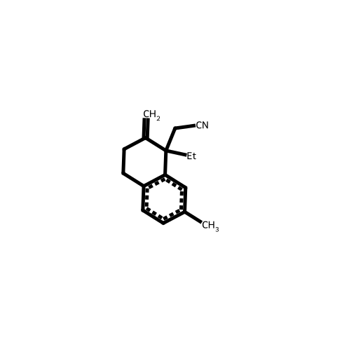 C=C1CCc2ccc(C)cc2C1(CC)CC#N